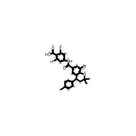 Cc1ccc(C2CC(C)(C)Oc3c(Br)cc(C(=O)Nc4cc(F)c(C(=O)O)c(F)c4)cc32)cc1